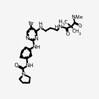 CNC(=O)C(C)(C)C(=O)NCCCNc1nc(Nc2cccc(NC(=O)N3CCCC3)c2)ncc1Br